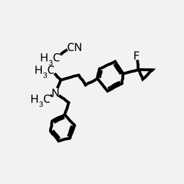 CC#N.CC(CCc1ccc(C2(F)CC2)cc1)N(C)Cc1ccccc1